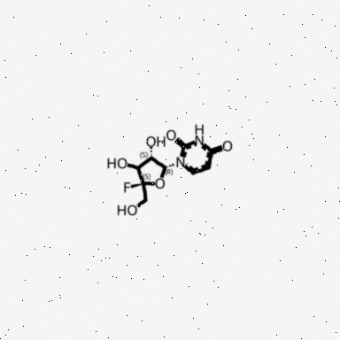 O=c1ccn([C@@H]2O[C@](F)(CO)C(O)[C@@H]2O)c(=O)[nH]1